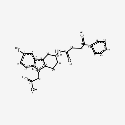 O=C(O)Cn1c2c(c3cc(F)ccc31)C[C@@H](NC(=O)CCC(=O)c1ccccc1)CC2